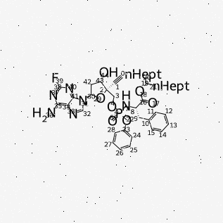 C#C[C@]1(CO[P@](=O)(N[C@@H](Cc2ccccc2)C(=O)OC(CCCCCCC)CCCCCCC)Oc2ccccc2)O[C@@H](n2cnc3c(N)nc(F)nc32)C[C@@H]1O